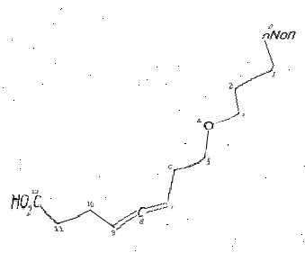 CCCCCCCCCCCCOCCC=C=CCCC(=O)O